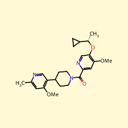 COc1cc(C(=O)N2CCC(c3cnc(C)cc3OC)CC2)ncc1O[C@@H](C)C1CC1